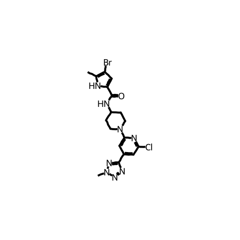 Cc1[nH]c(C(=O)NC2CCN(c3cc(-c4nnn(C)n4)cc(Cl)n3)CC2)cc1Br